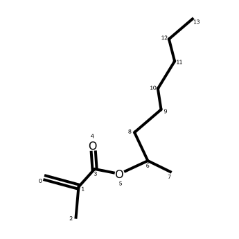 C=C(C)C(=O)OC(C)CCCCCC